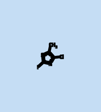 Cc1sc(I)nc1Cl